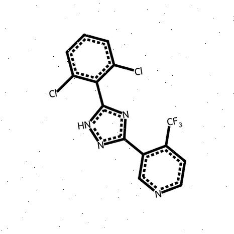 FC(F)(F)c1ccncc1-c1n[nH]c(-c2c(Cl)cccc2Cl)n1